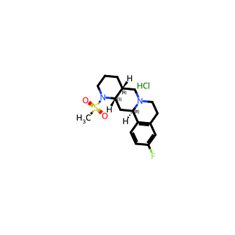 CS(=O)(=O)N1CCC[C@@H]2CN3CCc4cc(F)ccc4[C@H]3C[C@@H]21.Cl